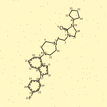 O=C1N(CCN2CCN(c3cccc4c3ccn4-c3ccc(F)cc3)CC2)CCN1C1CCCC1